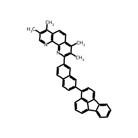 Cc1cnc2c(ccc3c(C)c(C)c(-c4ccc5ccc(-c6ccc7c8c(cccc68)-c6ccccc6-7)cc5c4)nc32)c1C